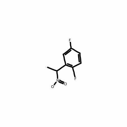 [CH2]C(c1cc(F)ccc1F)[N+](=O)[O-]